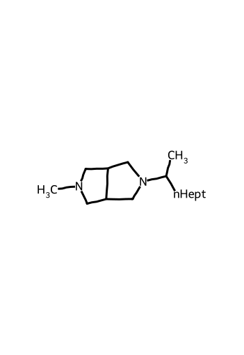 CCCCCCCC(C)N1CC2CN(C)CC2C1